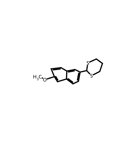 COc1ccc2cc(C3SCCCS3)ccc2c1